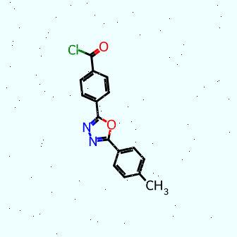 Cc1ccc(-c2nnc(-c3ccc(C(=O)Cl)cc3)o2)cc1